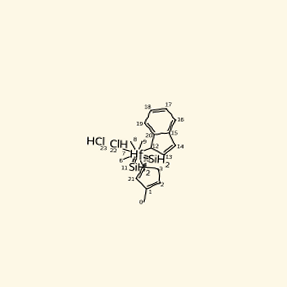 CC1=CC[C]([Hf]([CH3])([CH3])([CH3])([CH3])(=[SiH2])(=[SiH2])[CH]2C=Cc3ccccc32)=C1.Cl.Cl